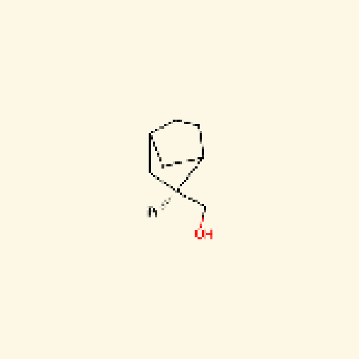 CC(C)[C@]1(CO)CC2CCC1C2